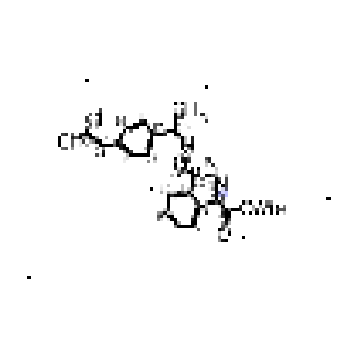 CO/N=C(/C(=O)OC)c1ccccc1CON=C(C)c1ccc(C=C(Cl)Cl)cc1